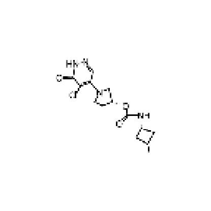 C[C@H]1C[C@H](NC(=O)O[C@@H]2CCN(c3cn[nH]c(=O)c3Cl)C2)C1